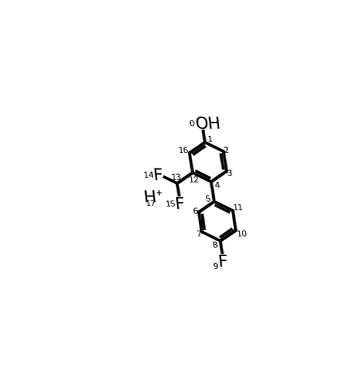 Oc1ccc(-c2ccc(F)cc2)c(C(F)F)c1.[H+]